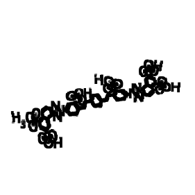 CS(=O)(=O)c1cc(S(=O)(=O)O)cc2c1ccc1nn(-c3ccc(/C=C/c4ccc(/C=C/c5ccc(-n6nc7ccc8c(S(=O)(=O)O)cc(S(=O)(=O)O)cc8c7n6)cc5S(=O)(=O)O)cc4)c(S(=O)(=O)O)c3)nc12